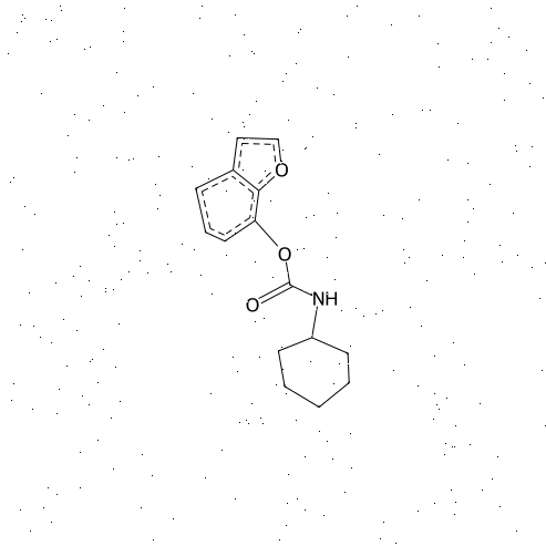 O=C(NC1CCCCC1)Oc1cccc2ccoc12